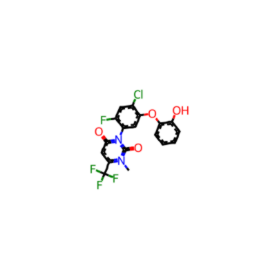 Cn1c(C(F)(F)F)cc(=O)n(-c2cc(Oc3ccccc3O)c(Cl)cc2F)c1=O